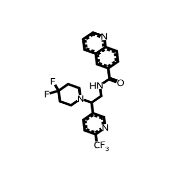 O=C(NCC(c1ccc(C(F)(F)F)nc1)N1CCC(F)(F)CC1)c1ccc2ncccc2c1